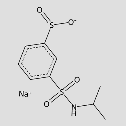 CC(C)NS(=O)(=O)c1cccc(S(=O)[O-])c1.[Na+]